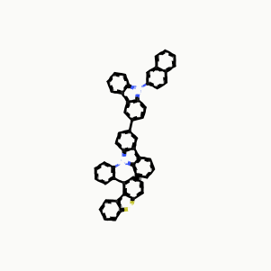 c1ccc(-n2c3ccccc3c3cc(-c4ccc5c(c4)c4ccccc4n5-c4ccc5ccccc5c4)ccc32)c(-c2cccc3sc4ccccc4c23)c1